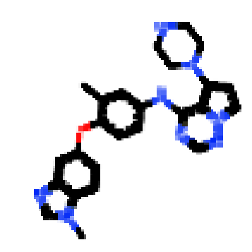 Cc1cc(Nc2ncnn3ccc(N4CCNCC4)c23)ccc1Oc1ccc2c(c1)ncn2C